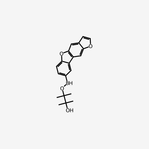 CC(C)(O)C(C)(C)OBc1ccc2oc3cc4ccoc4cc3c2c1